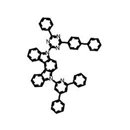 c1ccc(-c2ccc(-c3nc(-c4ccccc4)nc(-n4c5ccccc5c5c6c7ccccc7n(-c7cc(-c8ccccc8)cc(-c8ccccc8)n7)c6ccc54)n3)cc2)cc1